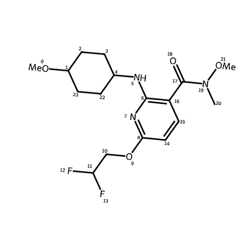 COC1CCC(Nc2nc(OCC(F)F)ccc2C(=O)N(C)OC)CC1